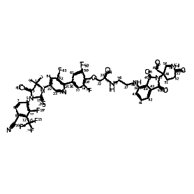 CC1(C)C(=O)N(c2ccc(C#N)c(C(F)(F)F)c2F)C(=S)N1c1cnc(-c2cc(F)c(OCC(=O)NCCNc3cccc4c3C(=O)N(C3(C=O)CCC(=O)NC3)C4=O)c(F)c2)c(F)c1